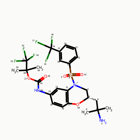 CC(C)(N)C[C@H]1CN(S(=O)(=O)c2cccc(C(F)(F)F)c2)c2cc(NC(=O)OC(C)(C)C(F)(F)F)ccc2O1